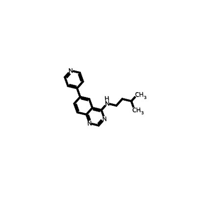 CC(C)CCNc1ncnc2ccc(-c3ccncc3)cc12